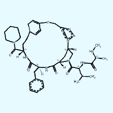 CN[C@@H](C)C(=O)N[C@H](C(=O)N1C[C@@H]2C[C@H]1C(=O)N[C@@H](Cc1ccccc1)C(=O)N[C@H](C(=O)N1CCCCC1)CC1C=CC(=CC1)OCc1cn2nn1)C(C)C